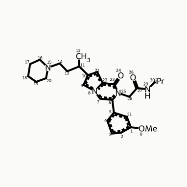 COc1cccc(-c2cn3cc(C(C)CCN4CCCCC4)cc3c(=O)n2CC(=O)NC(C)C)c1